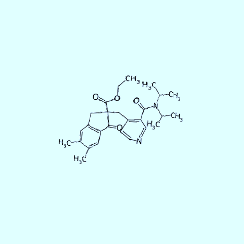 CCOC(=O)C1(Cc2ccncc2C(=O)N(C(C)C)C(C)C)Cc2cc(C)c(C)cc2C1=O